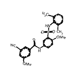 COc1cc(C#N)cc(C(=O)Nc2ccc(OC)c(S(=O)(=O)Nc3c(C)cccc3C)c2)c1